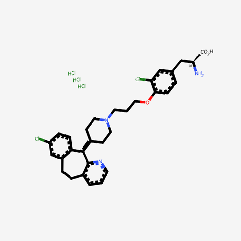 Cl.Cl.Cl.N[C@@H](Cc1ccc(OCCCN2CCC(=C3c4ccc(Cl)cc4CCc4cccnc43)CC2)c(Cl)c1)C(=O)O